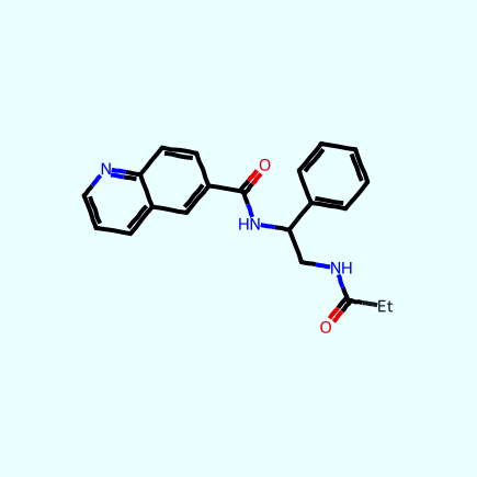 CCC(=O)NCC(NC(=O)c1ccc2ncccc2c1)c1ccccc1